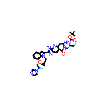 Cn1c(-c2cc3cccc(OCC(F)n4ccnc4)c3n2CC2CC2)nc2cc3c(nc21)CCN(C[C@@H](CF)NC(=O)OC(C)(C)C)C3=O